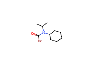 CC(C)N(C(=O)Br)C1CCCCC1